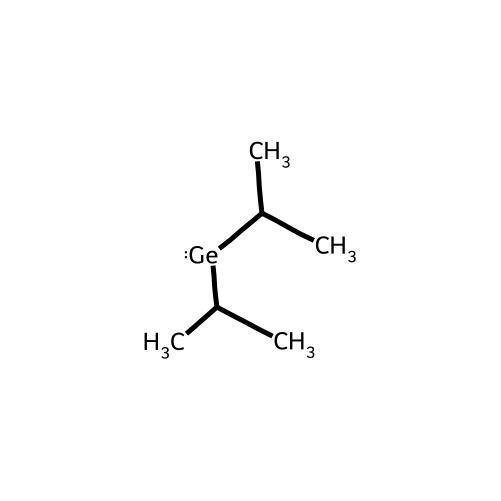 C[CH](C)[Ge][CH](C)C